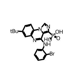 CC(C)(C)c1ccc2c(c1)nc(Nc1ccccc1Br)c1c(P(=O)(O)O)ncn12